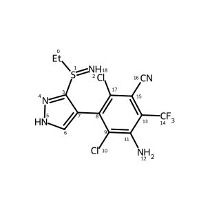 CCS(=N)c1n[nH]cc1-c1c(Cl)c(N)c(C(F)(F)F)c(C#N)c1Cl